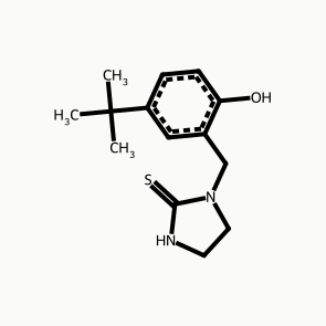 CC(C)(C)c1ccc(O)c(CN2CCNC2=S)c1